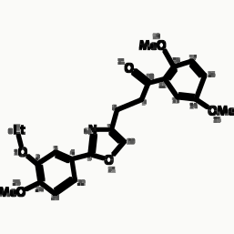 CCOc1cc(-c2nc(CCC(=O)c3cc(OC)ccc3OC)co2)ccc1OC